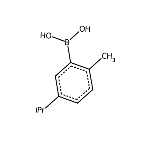 Cc1ccc(C(C)C)cc1B(O)O